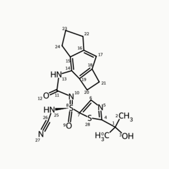 CC(C)(O)c1ncc([S@](=O)(=NC(=O)Nc2c3c(cc4c2CC4)CCC3)NC#N)s1